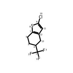 FC(F)(F)C1CCc2sc(Cl)cc2C1